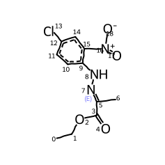 CCOC(=O)/C(C)=N/Nc1ccc(Cl)cc1[N+](=O)[O-]